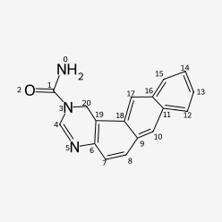 NC(=O)N1C=Nc2ccc3cc4ccccc4cc3c2C1